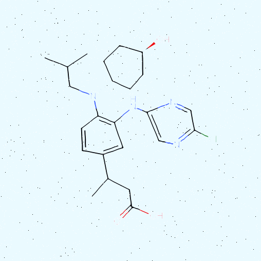 CC(C)CN(c1ccc(C(C)CC(=O)O)cc1Nc1cnc(Cl)cn1)[C@H]1CC[C@H](O)CC1